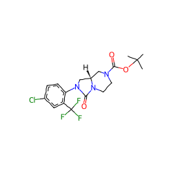 CC(C)(C)OC(=O)N1CCN2C(=O)N(c3ccc(Cl)cc3C(F)(F)F)C[C@@H]2C1